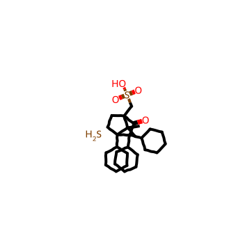 CC1(C)C2(CS(=O)(=O)O)CCC1(C1CCCCC1)C(C1CCCCC1)(C1CCCCC1)C2=O.S